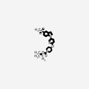 CC(C)(C)OC(=O)N1CCC(Oc2ccc(-n3ccc4cc(S(C)(=O)=O)ccc43)cn2)CC1